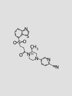 C[C@H]1CN(c2ccc(C#N)nc2)CCN1C(=O)CCS(=O)(=O)c1cccc2ncsc12